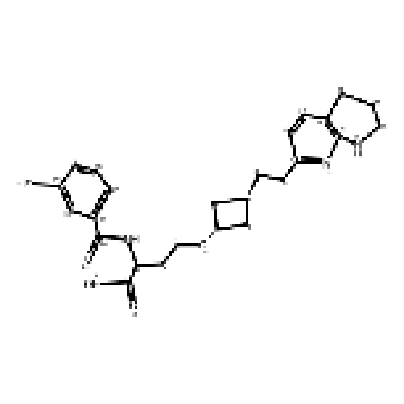 O=NC(=O)C(CCO[C@H]1C[C@H](CCc2ccc3c(n2)NCCC3)C1)NC(=O)c1cccc(F)c1